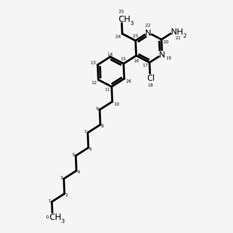 CCCCCCCCCCCc1cccc(-c2c(Cl)nc(N)nc2CC)c1